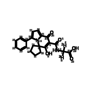 [2H]C([2H])(NC(=O)C1=C(O)C2(CCCC2)n2c(ccc2-c2ccccc2)C1=O)C(=O)O